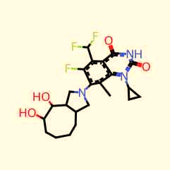 Cc1c(N2CC3CCCCC(O)C(O)C3C2)c(F)c(C(F)F)c2c(=O)[nH]c(=O)n(C3CC3)c12